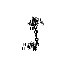 COC(=O)N[C@H](C(=O)N1C[C@@H](C#N)C[C@H]1c1ncc(-c2ccc(C#Cc3ccc(-c4cnc([C@@H]5CC(F)(F)CN5C(=O)[C@@H](NC(=O)OC)C(C)C)[nH]4)cc3)cc2)[nH]1)C(C)C